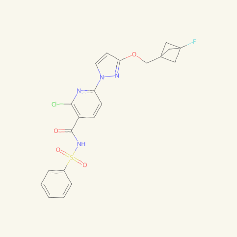 O=C(NS(=O)(=O)c1ccccc1)c1ccc(-n2ccc(OCC34CC(F)(C3)C4)n2)nc1Cl